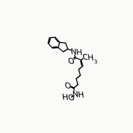 C/C(=C/CCCCC(=O)NO)C(=O)NC1Cc2ccccc2C1